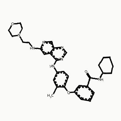 Cc1cc(Nc2ncnc3cnc(NCCN4CCOCC4)cc23)ccc1Oc1cccc(C(=O)NC2CCCCC2)c1